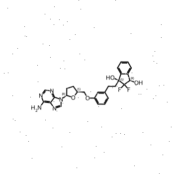 Nc1ncnc2c1ncn2[C@H]1CC[C@@H](COc2cccc(CC[C@]3(O)c4ccccc4[C@@H](O)C3(F)F)c2)O1